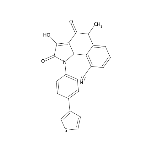 CC1C(=O)C2=C(O)C(=O)N(c3ccc(-c4ccsc4)cc3)C2c2c(C#N)cccc21